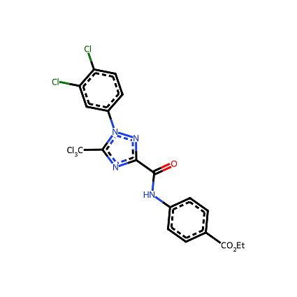 CCOC(=O)c1ccc(NC(=O)c2nc(C(Cl)(Cl)Cl)n(-c3ccc(Cl)c(Cl)c3)n2)cc1